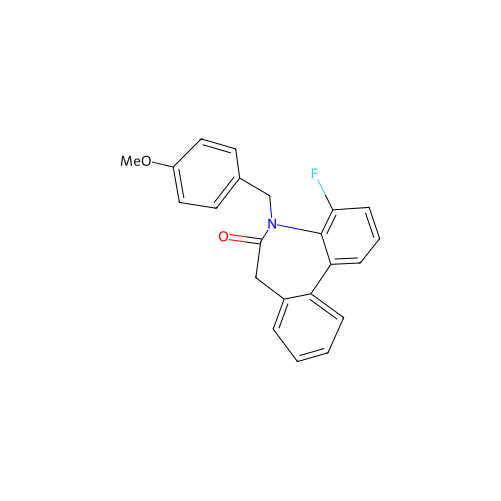 COc1ccc(CN2C(=O)Cc3ccccc3-c3cccc(F)c32)cc1